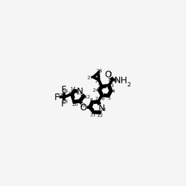 NC(=O)c1ccc(-c2cc(Oc3cncc(C(F)(F)F)c3)ccn2)cc1C1CC1